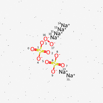 O=S(=O)([O-])[O-].O=S(=O)([O-])[O-].[Na+].[Na+].[Na+].[Na+].[Na+].[Na+].[O-][O-]